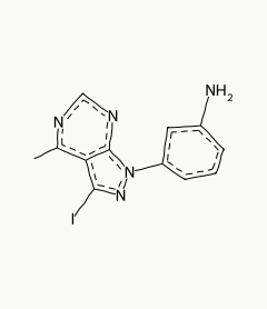 Cc1ncnc2c1c(I)nn2-c1cccc(N)c1